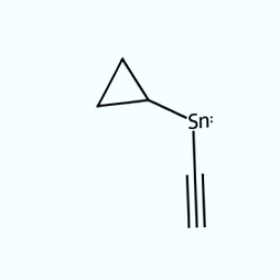 C#[C][Sn][CH]1CC1